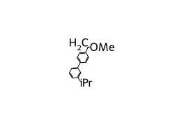 C=C(OC)c1ccc(-c2cccc(C(C)C)c2)cc1